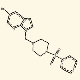 O=S(=O)(c1ccccc1)N1CCC(Cn2ccc3cc(Br)cnc32)CC1